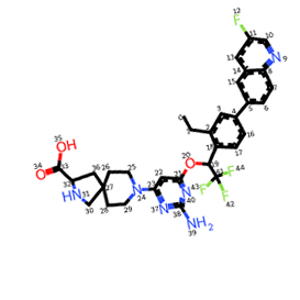 CCc1cc(-c2ccc3ncc(F)cc3c2)ccc1C(Oc1cc(N2CCC3(CC2)CNC(C(=O)O)C3)nc(N)n1)C(F)(F)F